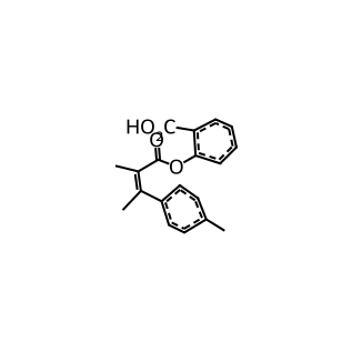 CC(C(=O)Oc1ccccc1C(=O)O)=C(C)c1ccc(C)cc1